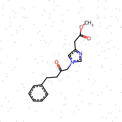 COC(=O)Cc1cn(CC(=O)CCc2ccccc2)cn1